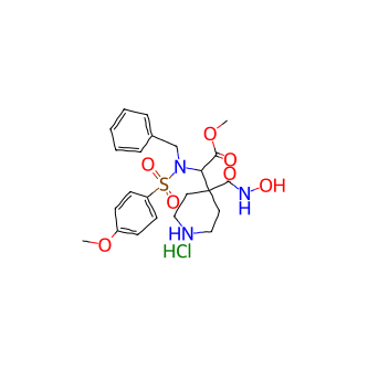 COC(=O)C(N(Cc1ccccc1)S(=O)(=O)c1ccc(OC)cc1)C1(C(=O)NO)CCNCC1.Cl